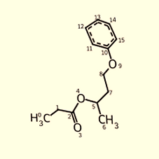 CCC(=O)OC(C)CCOc1ccccc1